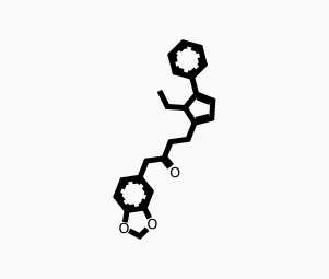 CCC1C(CCC(=O)Cc2ccc3c(c2)OCO3)=CC=C1c1ccccc1